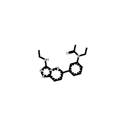 CCNc1nnc2ccc(-c3cccc(N(CC)C(C)=O)c3)nn12